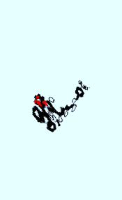 CC(=O)OC(c1ccc(C(=O)OCc2ccc([N+](=O)[O-])cc2)o1)C1C(=O)N([Si](C)(C)C(C)(C)C)C1SC(c1ccccc1)(c1ccccc1)c1ccccc1